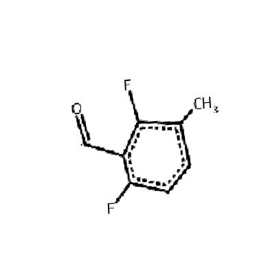 Cc1ccc(F)c([C]=O)c1F